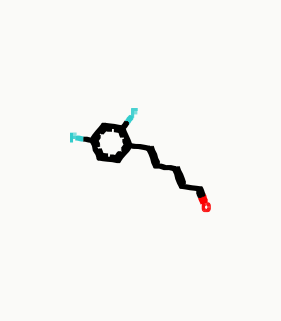 O=CC=CC=Cc1ccc(F)cc1F